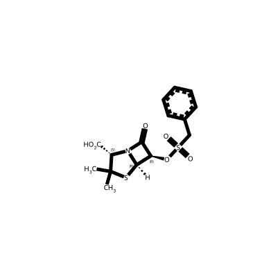 CC1(C)S[C@@H]2[C@H](OS(=O)(=O)Cc3ccccc3)C(=O)N2[C@H]1C(=O)O